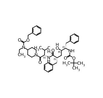 CCN(C(=O)OCc1ccccc1)C1CCN(C(=O)[C@@H](NC(=O)[C@@H](Cc2ccccc2)C[C@@H](O)[C@H](Cc2ccccc2)NC(=O)OC(C)(C)C)C(C)C)CC1